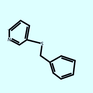 [c]1ccc(SCc2ccccc2)cn1